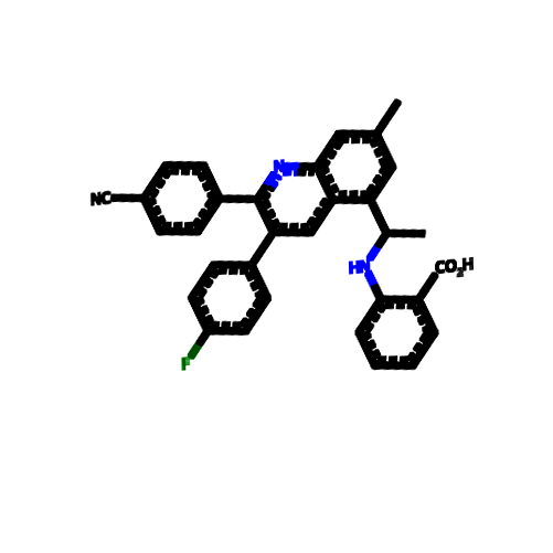 Cc1cc(C(C)Nc2ccccc2C(=O)O)c2cc(-c3ccc(F)cc3)c(-c3ccc(C#N)cc3)nc2c1